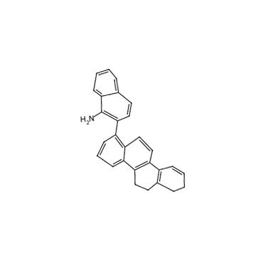 Nc1c(-c2cccc3c4c(ccc23)C2=C(CCC=C2)CC4)ccc2ccccc12